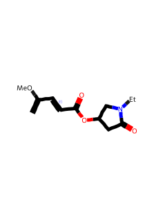 C=C(/C=C/C(=O)OC1CC(=O)N(CC)C1)OC